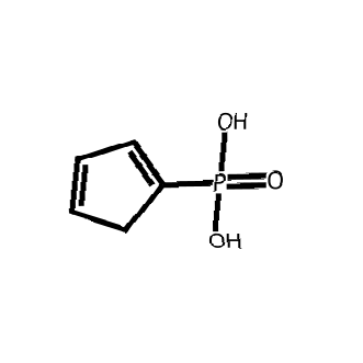 O=P(O)(O)C1=CC=CC1